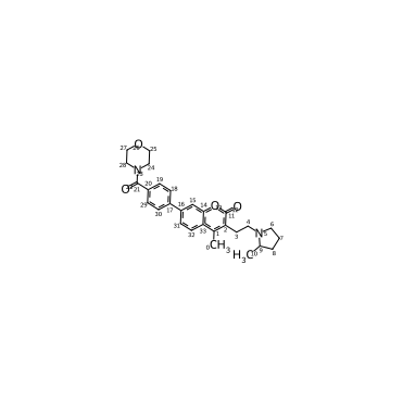 Cc1c(CCN2CCCC2C)c(=O)oc2cc(-c3ccc(C(=O)N4CCOCC4)cc3)ccc12